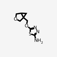 Nc1nnc(OCC23COCC2C3)s1